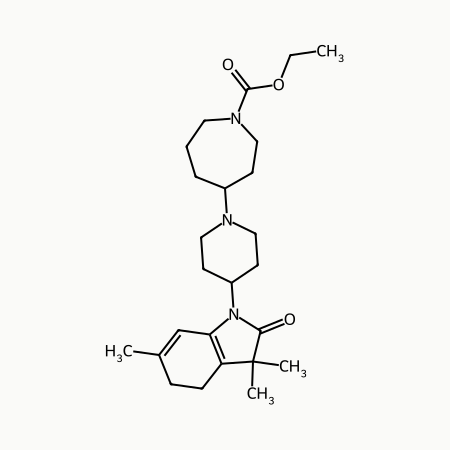 CCOC(=O)N1CCCC(N2CCC(N3C(=O)C(C)(C)C4=C3C=C(C)CC4)CC2)CC1